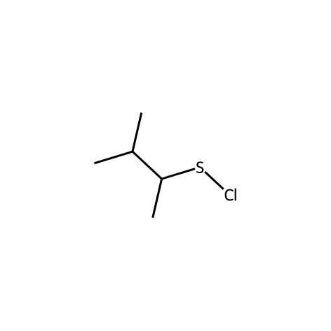 CC(C)C(C)SCl